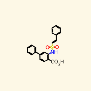 O=C(O)c1ccc(-c2ccccc2)cc1NS(=O)(=O)/C=C/c1ccccc1